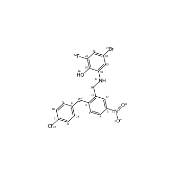 O=[N+]([O-])c1ccc(Sc2ccc(Cl)cc2)c(CNc2cc(Br)cc(F)c2O)c1